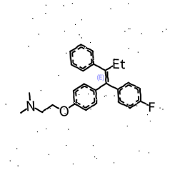 CC/C(=C(\c1ccc(F)cc1)c1ccc(OCCN(C)C)cc1)c1ccccc1